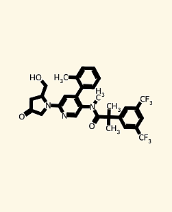 Cc1ccccc1-c1cc(N2CC(=O)CC2CO)ncc1N(C)C(=O)C(C)(C)c1cc(C(F)(F)F)cc(C(F)(F)F)c1